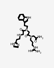 N=C(N)NCCCN(CC(N)=O)C(=O)CN(CCc1c[nH]c2ccccc12)C(=O)CNCCc1ncc[nH]1